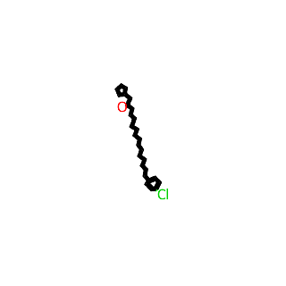 O=C(CCCCCCCCCCCCCCc1ccc(Cl)cc1)CC1CCCC1